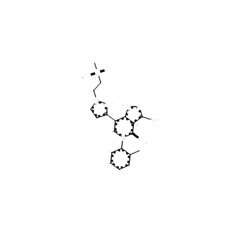 Cc1ccccc1-n1cc(-c2ccn(CCS(C)(=O)=O)n2)c2[nH]nc(N)c2c1=O